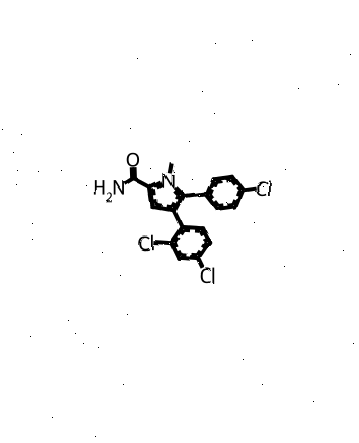 Cn1c(C(N)=O)cc(-c2ccc(Cl)cc2Cl)c1-c1ccc(Cl)cc1